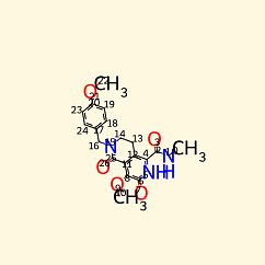 CNC(=O)c1[nH]c(=O)c(OC)c2c1CCN(Cc1ccc(OC)cc1)C2=O